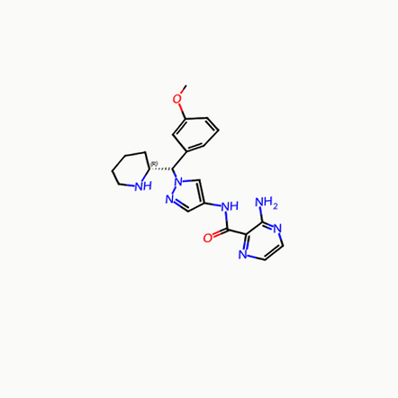 COc1cccc(C([C@H]2CCCCN2)n2cc(NC(=O)c3nccnc3N)cn2)c1